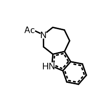 CC(=O)N1CCCc2c([nH]c3ccccc23)C1